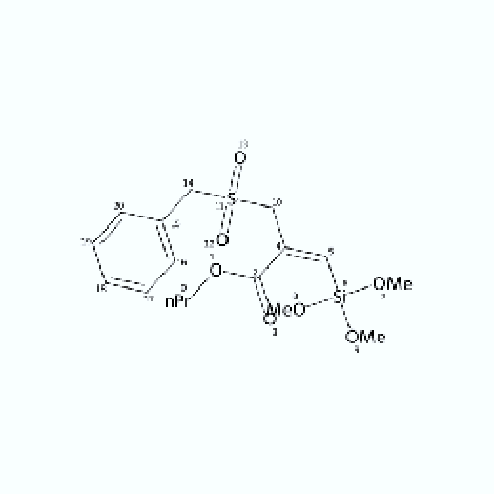 CCCOC(=O)C(=C[Si](OC)(OC)OC)CS(=O)(=O)Cc1ccccc1